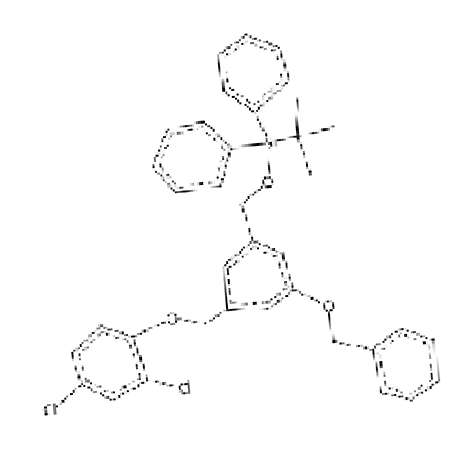 CC(C)(C)[Si](OCc1cc(COc2ccc(Cl)cc2Cl)cc(OCc2ccccc2)c1)(c1ccccc1)c1ccccc1